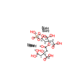 O=C(O)CC(O)(CC(=O)OC(CC(=O)O)(CC(=O)OS(=O)(=O)O)C(=O)O)C(=O)O.[NaH].[NaH].[NaH].[NaH]